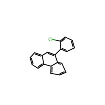 Clc1ccccc1-c1cc2ccccc2c2ccccc12